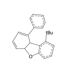 CC(C)(C)c1cccc2c1C1C(c3ccccc3)=CC=CC1O2